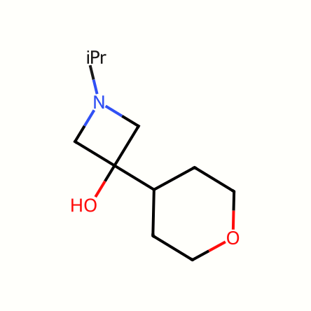 CC(C)N1CC(O)(C2CCOCC2)C1